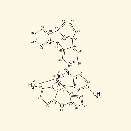 Cc1ccc2c(c1)[Si]1(c3ccccc3Oc3ccccc31)c1cc(C)ccc1N2c1ccc2c3cccc4c5ccccc5n(c2c1)c43